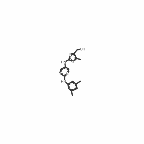 Cc1cc(C)cc(Nc2ncc(Nc3nc(CO)c(C)s3)cn2)c1